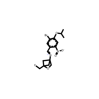 CC(C)Oc1cc([N+](=O)[O-])c(/C=N/C23COC(CF)(C2)C3)cc1Br